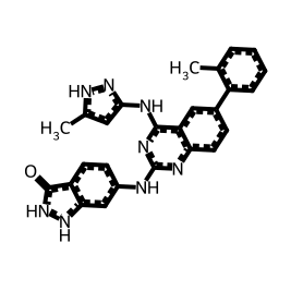 Cc1cc(Nc2nc(Nc3ccc4c(=O)[nH][nH]c4c3)nc3ccc(-c4ccccc4C)cc23)n[nH]1